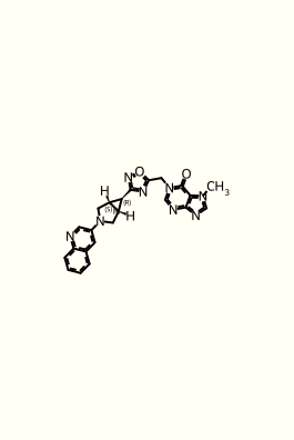 Cn1cnc2ncn(Cc3nc([C@H]4[C@@H]5CN(c6cnc7ccccc7c6)C[C@@H]54)no3)c(=O)c21